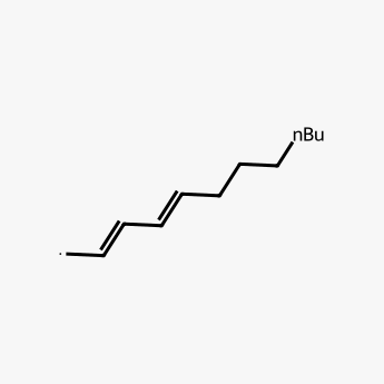 [CH2]C=CC=CCCCCCC[CH2]